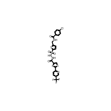 O=C(NCc1ccc(S(=O)(=O)NNC(=O)c2csc(-c3ccc(C(F)(F)F)cn3)n2)s1)c1ccc(Cl)cc1